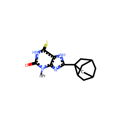 CCCn1c(=O)[nH]c(=S)c2[nH]c(C34CC5CC(CC3C5)C4)nc21